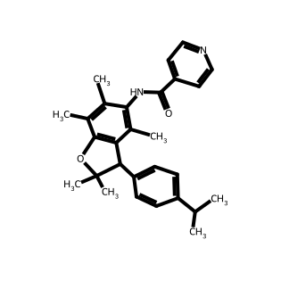 Cc1c(C)c2c(c(C)c1NC(=O)c1ccncc1)C(c1ccc(C(C)C)cc1)C(C)(C)O2